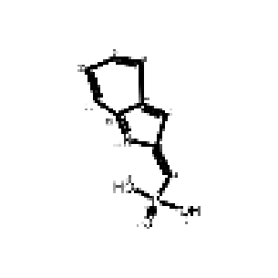 O=P(O)(O)C=C1C=c2ccccc2=N1